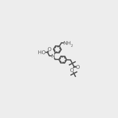 CC(C)(C)OC(=O)C(C)(C)Cc1ccc(CN(CC(=O)O)c2ccc(CN)cc2)cc1